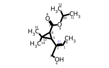 C/C=C(/CO)C1C(C(=O)OC(C)C)C1(C)C